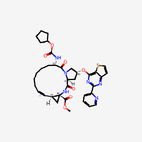 COC(=O)[C@@]12C[C@H]1/C=C\CCCCC[C@H](NC(=O)OC1CCCC1)C(=O)N1C[C@H](Oc3nc(-c4ccccn4)nc4ccsc34)C[C@H]1C(=O)N2